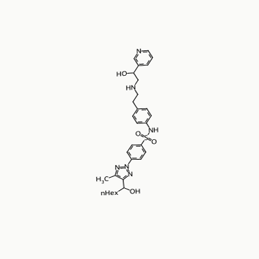 CCCCCCC(O)c1nn(-c2ccc(S(=O)(=O)Nc3ccc(CCNCC(O)c4cccnc4)cc3)cc2)nc1C